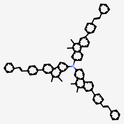 Cc1c(C)c2cc(N(c3ccc4c(c3)c(C)c(C)c3cc(-c5ccc(/C=C/c6ccccc6)cc5)ccc34)c3ccc4c(c3)c(C)c(C)c3cc(-c5ccc(/C=C/c6ccccc6)cc5)ccc34)ccc2c2ccc(-c3ccc(/C=C/c4ccccc4)cc3)cc12